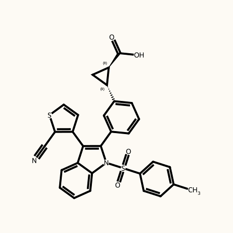 Cc1ccc(S(=O)(=O)n2c(-c3cccc([C@@H]4C[C@H]4C(=O)O)c3)c(-c3ccsc3C#N)c3ccccc32)cc1